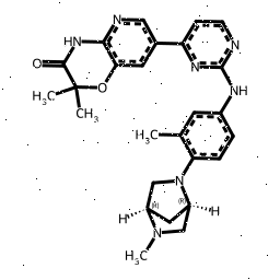 Cc1cc(Nc2nccc(-c3cnc4c(c3)OC(C)(C)C(=O)N4)n2)ccc1N1C[C@H]2C[C@@H]1CN2C